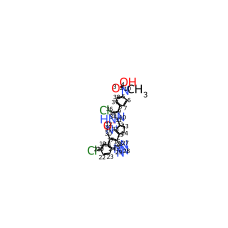 CN(C(=O)O)c1ccc(-c2nc(C3CCc4cc(-c5cc(Cl)ccc5-n5cnnn5)c[n+]([O-])c43)[nH]c2Cl)cc1